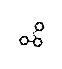 [c]1ccc(-c2ccccc2Sc2ccccc2)cc1